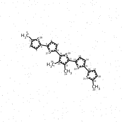 Cc1ccc(-c2ccc(-c3sc(-c4ccc(-c5ccc(C)s5)s4)c(C)c3C)s2)s1